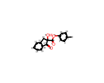 Cc1ccc(OC(=O)C2(O)Cc3ccccc3C2=O)cc1